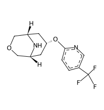 FC(F)(F)c1ccc(O[C@H]2C[C@H]3COC[C@@H](C2)N3)nc1